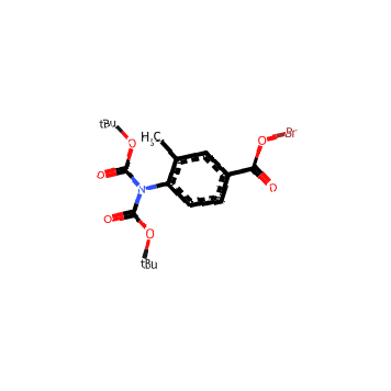 Cc1cc(C(=O)OBr)ccc1N(C(=O)OC(C)(C)C)C(=O)OC(C)(C)C